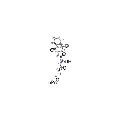 CCCOCCOC(=O)/C=C(\O)c1cc2c(o1)C(=O)c1ccccc1C2=O